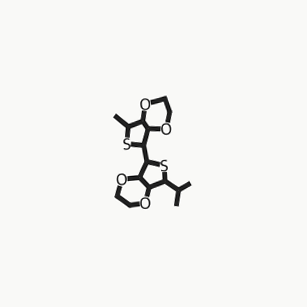 CC(C)C1SC(C2SC(C)C3OCCOC32)C2OCCOC21